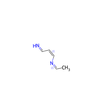 C/C=N\C=C/C=N